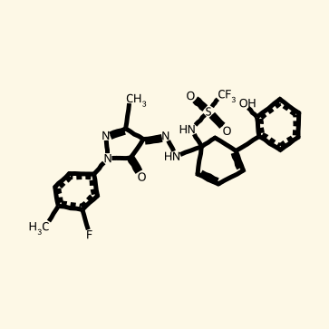 CC1=NN(c2ccc(C)c(F)c2)C(=O)/C1=N\NC1(NS(=O)(=O)C(F)(F)F)C=CC=C(c2ccccc2O)C1